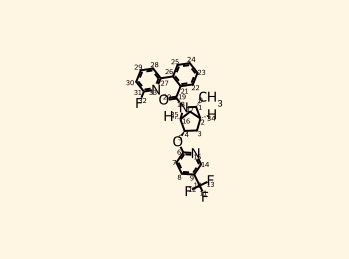 C[C@@H]1[C@H]2C[C@@H](Oc3ccc(C(F)(F)F)cn3)[C@H](C2)N1C(=O)c1ccccc1-c1cccc(F)n1